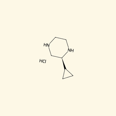 C1CN[C@@H](C2CC2)CN1.Cl